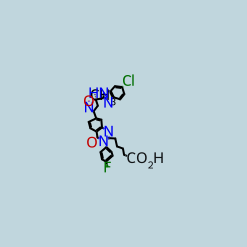 C[C@]1(c2nc3ccc(Cl)cc3[nH]2)CC(c2ccc3c(=O)n(-c4ccc(F)cc4)c(CCCCC(=O)O)nc3c2)=NO1